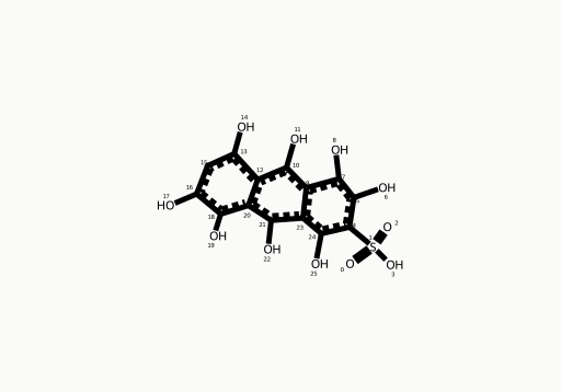 O=S(=O)(O)c1c(O)c(O)c2c(O)c3c(O)cc(O)c(O)c3c(O)c2c1O